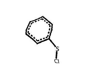 ClSc1ccccc1